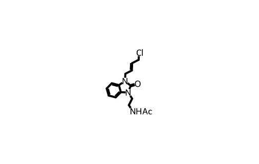 CC(=O)NCCn1c(=O)n(CC=CCCl)c2ccccc21